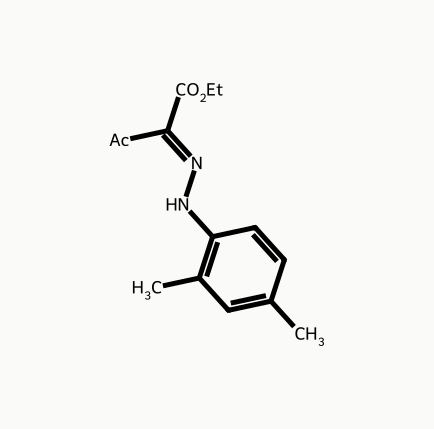 CCOC(=O)C(=NNc1ccc(C)cc1C)C(C)=O